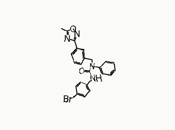 Cc1nc(-c2cccc(CN(C(=O)Nc3ccc(Br)cc3)c3ccccc3)c2)no1